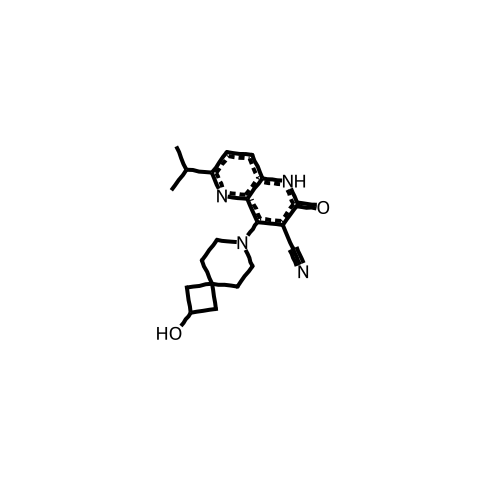 CC(C)c1ccc2[nH]c(=O)c(C#N)c(N3CCC4(CC3)CC(O)C4)c2n1